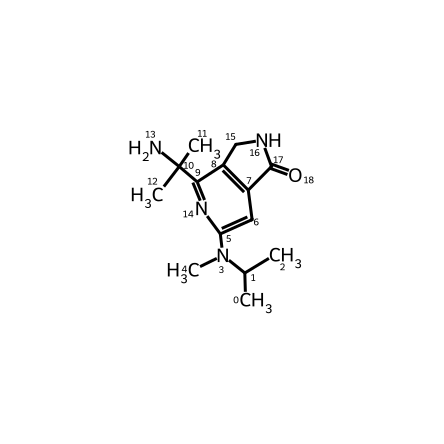 CC(C)N(C)c1cc2c(c(C(C)(C)N)n1)CNC2=O